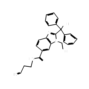 CCn1c(C(O)(c2ccccc2)c2ccccc2)nc2ccc(C(=O)NCCC=N)cc21